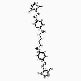 Cn1nc[n+](C)c1N=Nc1ccc(NCCCCNc2ccc(N=Nc3n(C)nc[n+]3C)cc2)cc1